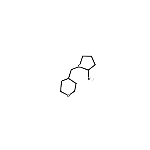 CC(C)(C)C1CCCN1CC1CCOCC1